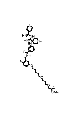 COC(=O)COCCCOCCCCCOc1ccc(F)c(CNC(=O)c2cccc(NC3(C(=N)NC(=N)c4ccncc4)CCN(C)CC3)c2)c1